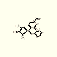 Cc1cccc(C)c1N.O=Cc1ccc2ccc3cccnc3c2n1